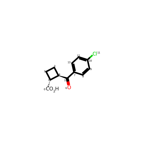 O=C(O)[C@@H]1CC[C@H]1C(=O)c1ccc(Cl)cc1